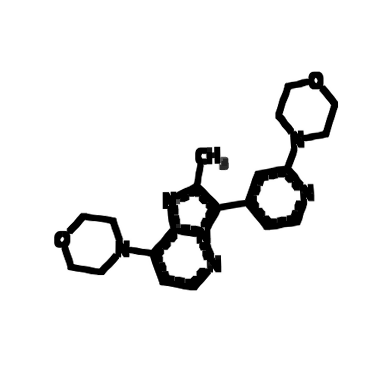 Cc1nc2c(N3CCOCC3)ccnn2c1-c1ccnc(N2CCOCC2)c1